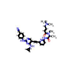 C[C@@H](C(=O)Nc1cccc(C#Cc2cnc(Nc3ccc(C#N)cc3)nc2NC2CC2)n1)N(C)C(=O)/C=C/CN(C)C